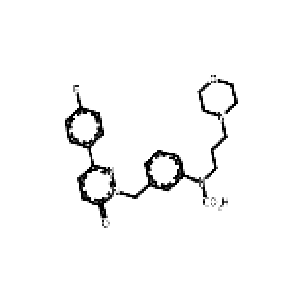 O=C(O)N(CCCN1CCOCC1)c1cccc(Cn2nc(-c3ccc(F)cc3)ccc2=O)c1